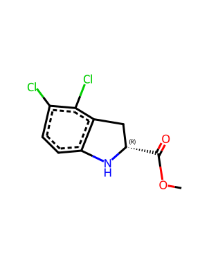 COC(=O)[C@H]1Cc2c(ccc(Cl)c2Cl)N1